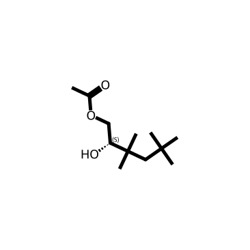 CC(=O)OC[C@@H](O)C(C)(C)CC(C)(C)C